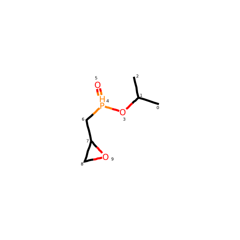 CC(C)O[PH](=O)CC1CO1